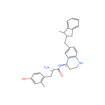 Cc1cc(O)ccc1C[C@H](N)C(=O)N[C@@H]1CCNc2ccc(CC3Cc4ccccc4C3C)cc21